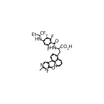 CCC(Nc1cc(F)c(C(=O)NC(Cc2ccc(-c3cnc(C)n(C)c3=O)c3ncccc23)C(=O)O)c(F)c1)C(F)(F)F